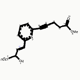 CCCCCCCCC(O)/C=C/c1cccc(C#CCCC(=O)OC)n1